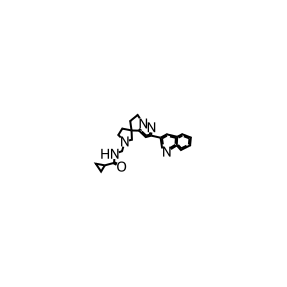 O=C(NCN1CCC2(CCn3nc(-c4cnc5ccccc5c4)cc32)C1)C1CC1